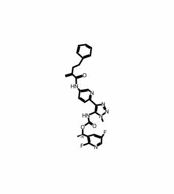 C=C(CCc1ccccc1)C(=O)Nc1ccc(-c2nnn(C)c2NC(=O)O[C@H](C)c2cc(F)cnc2F)nc1